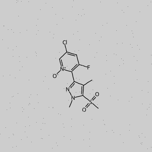 Cc1c(-c2c(F)cc(Cl)c[n+]2[O-])nn(C)c1S(C)(=O)=O